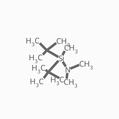 CN(C)[Si](C)(C(C)(C)C)C(C)(C)C